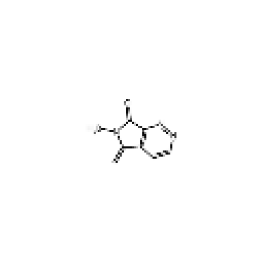 BN1C(=C)c2ccnnc2C1=O